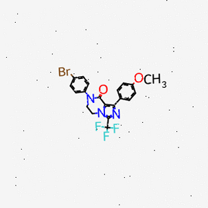 COc1ccc(-c2nc(C(F)(F)F)n3c2C(=O)N(c2ccc(Br)cc2)CC3)cc1